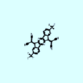 N#CC(C#N)=C1c2cc(C(F)(F)F)ccc2-c2nc3c(nc21)-c1ccc(C(F)(F)F)cc1C3=C(C#N)C#N